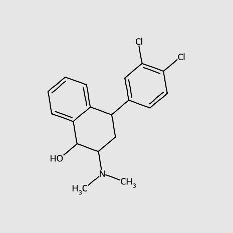 CN(C)C1CC(c2ccc(Cl)c(Cl)c2)c2ccccc2C1O